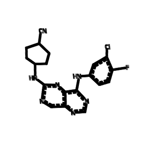 N#CC1CCC(Nc2ncc3ncnc(Nc4ccc(F)c(Cl)c4)c3n2)CC1